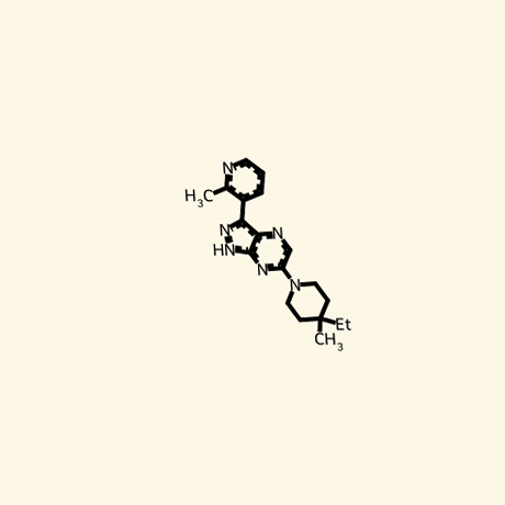 CCC1(C)CCN(c2cnc3c(-c4cccnc4C)n[nH]c3n2)CC1